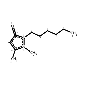 CCCCCCn1c(=O)cc(C)n1C